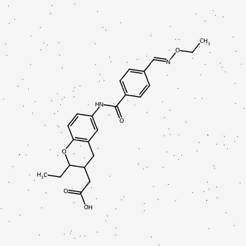 CCON=Cc1ccc(C(=O)Nc2ccc3c(c2)CC(CC(=O)O)C(CC)O3)cc1